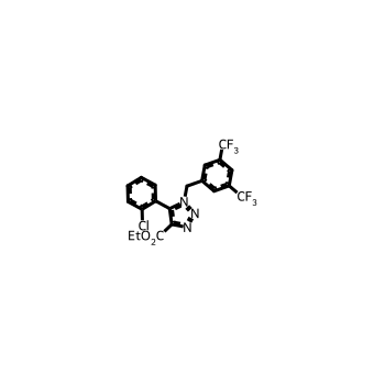 CCOC(=O)c1nnn(Cc2cc(C(F)(F)F)cc(C(F)(F)F)c2)c1-c1ccccc1Cl